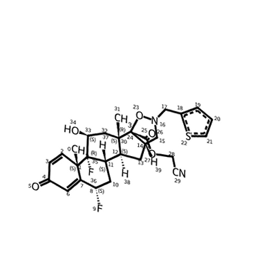 C[C@]12C=CC(=O)C=C1[C@@H](F)C[C@H]1[C@@H]3C[C@H]4CN(Cc5cccs5)O[C@@]4(C(=O)OCC#N)[C@@]3(C)C[C@H](O)[C@@]12F